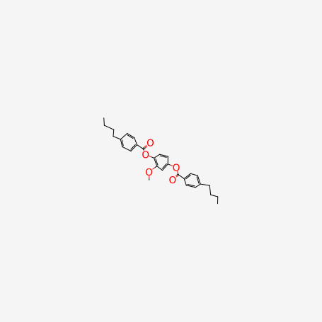 CCCCc1ccc(C(=O)Oc2ccc(OC(=O)c3ccc(CCCC)cc3)c(OC)c2)cc1